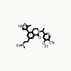 CCOc1cc(C(C)N2CCc3c(cc(CCN(C)CC)cc3-c3c[nH]nc3C)C2=O)ncc1C#N